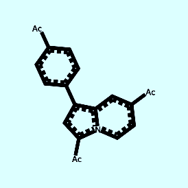 CC(=O)c1ccc(-c2cc(C(C)=O)n3ccc(C(C)=O)cc23)cc1